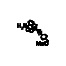 COC[C@H]1CC[C@@H](N2CC(N3Cc4cccc(C(N)=O)c4C3=O)C2)CC1